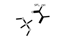 C=C(C)C(=O)O.CO[Si](C)(C)OC.[SiH4]